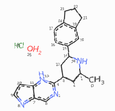 CC1CC(c2ncc3nccc-3[nH]2)CC(c2ccc3c(c2)CCC3)N1.Cl.O